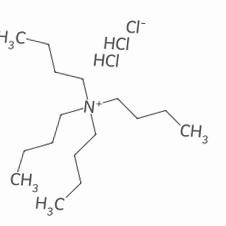 CCCC[N+](CCCC)(CCCC)CCCC.Cl.Cl.[Cl-]